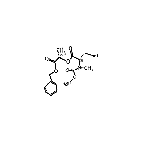 CC(C)C[C@@H](C(=O)O[C@@H](C)C(=O)OCc1ccccc1)N(C)C(=O)OC(C)(C)C